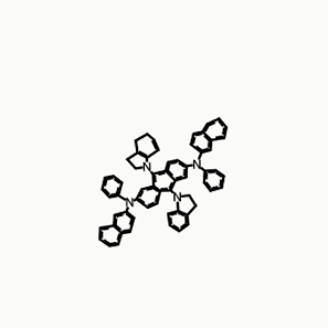 C1=CC2=C(CC1)CCN2c1c2cc(N(c3ccccc3)c3ccc4ccccc4c3)ccc2c(N2CCc3ccccc32)c2cc(N(c3ccccc3)c3ccc4ccccc4c3)ccc12